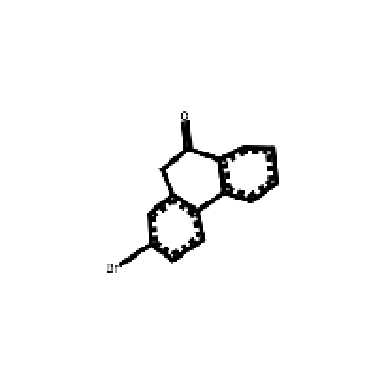 O=C1Cc2cc(Br)ccc2-c2ccccc21